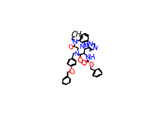 CCN(C(=O)CN(Cc1ccc(OCc2ccccc2)cc1)C(=O)C(Cc1cnc[nH]1)NC(=O)OCc1ccccc1)c1ccccc1N